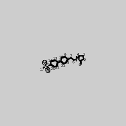 CC1CCCN1CCc1ccc(-c2ccc(S(C)(=O)=O)cc2)cc1